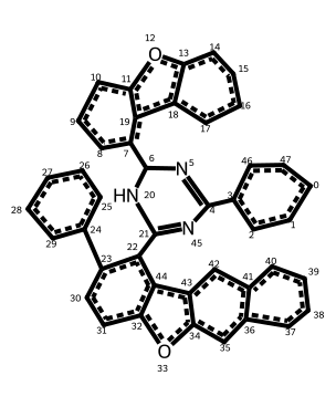 c1ccc(C2=NC(c3cccc4oc5ccccc5c34)NC(c3c(-c4ccccc4)ccc4oc5cc6ccccc6cc5c34)=N2)cc1